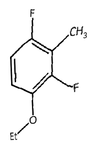 CCOc1ccc(F)c(C)c1F